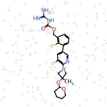 CC1(OC2CCCCO2)CN(c2ncc(-c3cccc(COC(=O)NC(=N)N)c3F)cc2F)C1